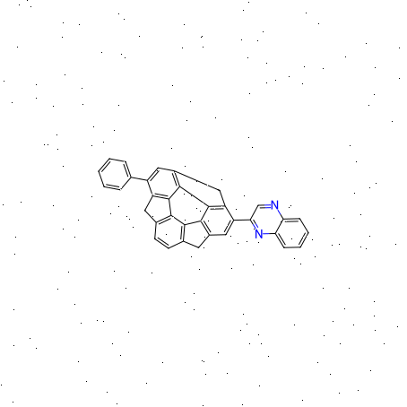 c1ccc(-c2cc3c4c5c2Cc2ccc6c(c25)c2c(cc(-c5cnc7ccccc7n5)c(c24)C3)C6)cc1